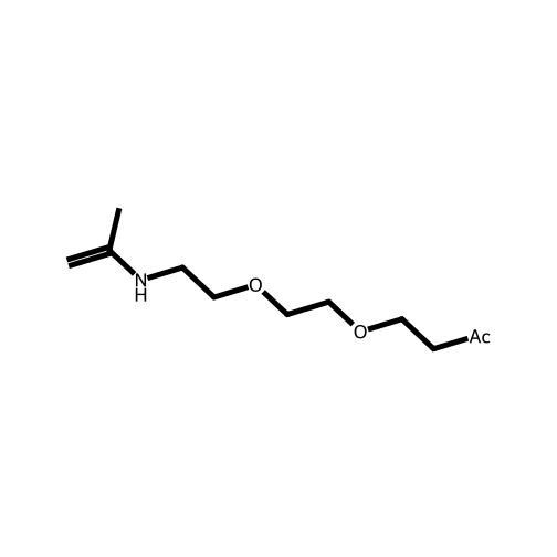 C=C(C)NCCOCCOCCC(C)=O